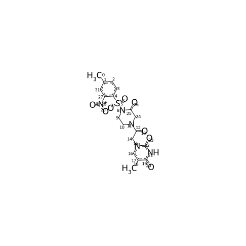 Cc1ccc(S(=O)(=O)N2CCN(C(=O)Cn3cc(C)c(=O)[nH]c3=O)CC2=O)c([N+](=O)[O-])c1